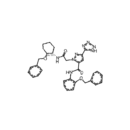 O=C(Cn1nc(-c2nnn[nH]2)cc1C(=O)Nc1ccccc1OCc1ccccc1)N[C@H]1CCCC[C@@H]1OCc1ccccc1